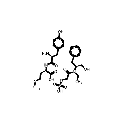 CCN(C(=O)CNS(=O)(=O)O)[C@H](CO)Cc1ccccc1.CSCC[C@@H](NC(=O)[C@@H](N)Cc1ccc(O)cc1)C(=O)O